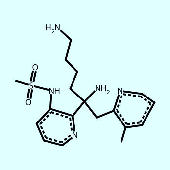 Cc1cccnc1CC(N)(CCCCN)c1ncccc1NS(C)(=O)=O